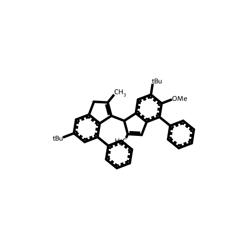 COc1c(C(C)(C)C)cc2c(c1-c1ccccc1)C=C(C)C2C1=C(C)[CH]c2cc(C(C)(C)C)cc(-c3ccccc3)c21